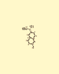 CC[C@H](c1ccc2cc(I)ccc2c1)C(C)(C)C